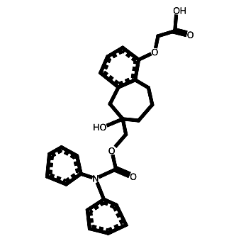 O=C(O)COc1cccc2c1CCCC(O)(COC(=O)N(c1ccccc1)c1ccccc1)C2